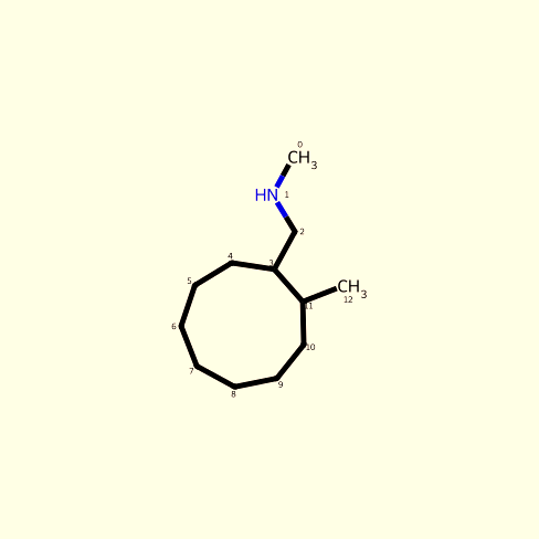 CNCC1CCCCCCCC1C